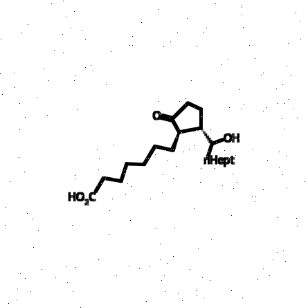 CCCCCCCC(O)[C@H]1CCC(=O)[C@@H]1CCCCCCC(=O)O